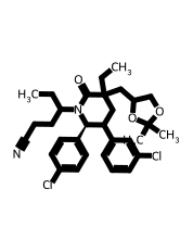 CCC(CCC#N)N1C(=O)C(CC)(CC2COC(C)(C)O2)CC(c2cccc(Cl)c2)[C@H]1c1ccc(Cl)cc1